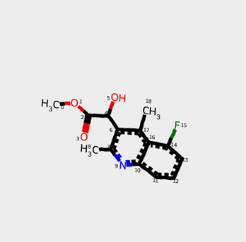 COC(=O)C(O)c1c(C)nc2cccc(F)c2c1C